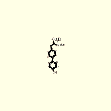 CCOC(=O)C(Cc1ccc(-c2ccc(C#N)cc2)cc1)NC(C)=O